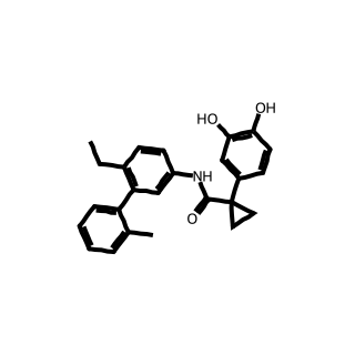 CCc1ccc(NC(=O)C2(c3ccc(O)c(O)c3)CC2)cc1-c1ccccc1C